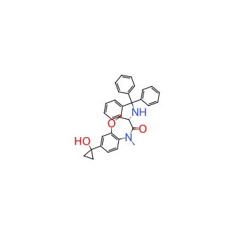 CN1C(=O)[C@@H](NC(c2ccccc2)(c2ccccc2)c2ccccc2)COc2cc(C3(O)CC3)ccc21